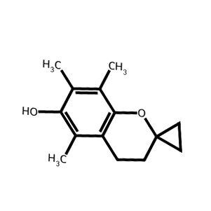 Cc1c(C)c2c(c(C)c1O)CCC1(CC1)O2